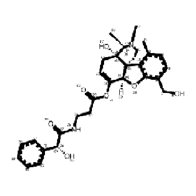 Cc1ccc(CO)c2c1[C@]13CCN(C)[C@H](C)[C@]1(O)CC=C(OC(=O)CCNC(=O)[C@H](O)c1ccccc1)[C@@H]3O2